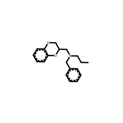 [CH2]CCN(Cc1ccccc1)CC1COc2ccccc2O1